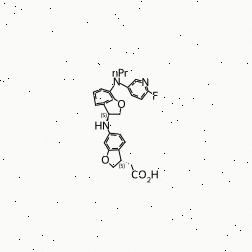 CCCN(c1ccc(F)nc1)c1cccc2c1OC[C@H]2Nc1ccc2c(c1)OC[C@H]2CC(=O)O